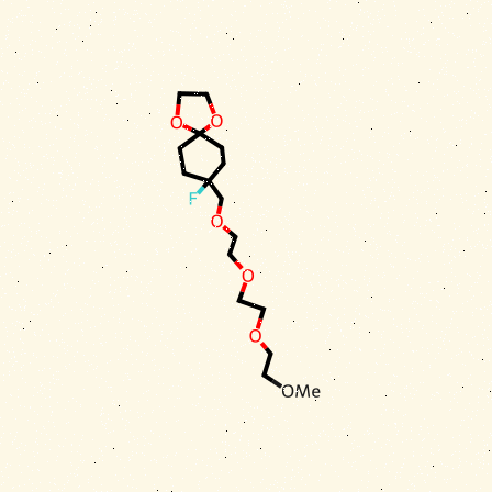 COCCOCCOCCOCC1(F)CCC2(CC1)OCCO2